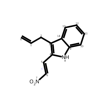 C=CCc1c(/C=C/[N+](=O)[O-])[nH]c2ccccc12